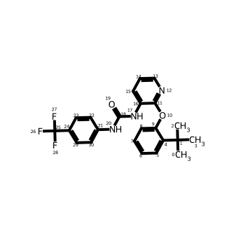 CC(C)(C)c1ccccc1Oc1ncccc1NC(=O)Nc1ccc(C(F)(F)F)cc1